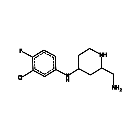 NCC1CC(Nc2ccc(F)c(Cl)c2)CCN1